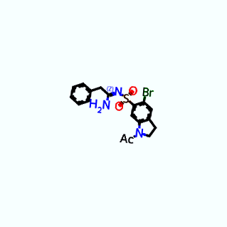 CC(=O)N1CCc2cc(Br)c(S(=O)(=O)/N=C(\N)Cc3ccccc3)cc21